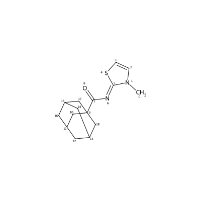 Cn1ccs/c1=N\C(=O)C12CC3CC(CC(C3)C1)C2